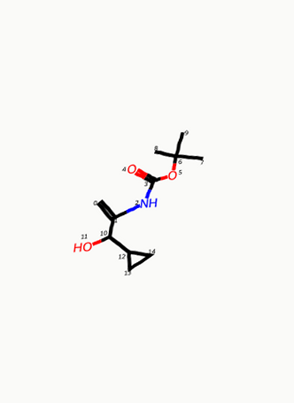 C=C(NC(=O)OC(C)(C)C)C(O)C1CC1